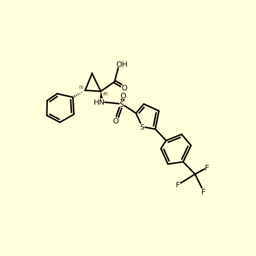 O=C(O)[C@@]1(NS(=O)(=O)c2ccc(-c3ccc(C(F)(F)F)cc3)s2)C[C@H]1c1ccccc1